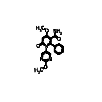 COc1ncc(-n2c(-c3ccccc3)c(C(N)=O)c(OC)cc2=O)cn1